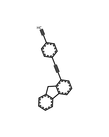 C#Cc1ccc(C#Cc2cccc3c2Cc2ccccc2-3)cc1